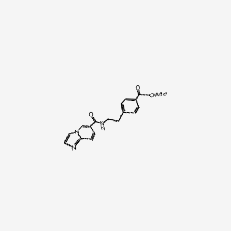 COC(=O)c1ccc(CCNC(=O)c2ccc3nccn3c2)cc1